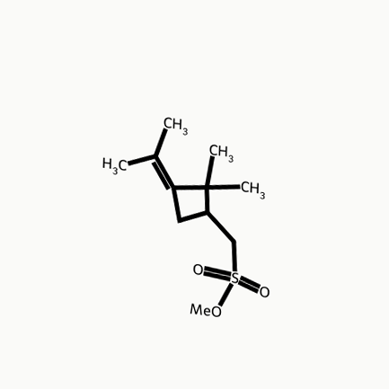 COS(=O)(=O)CC1CC(=C(C)C)C1(C)C